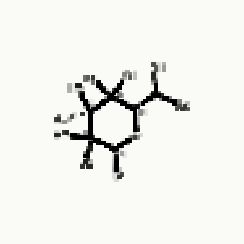 CC(=O)C(O)[C@H]1O[C@@H](Br)[C@@](O)(C(C)=O)[C@](O)(C(C)=O)[C@@]1(O)C(C)=O